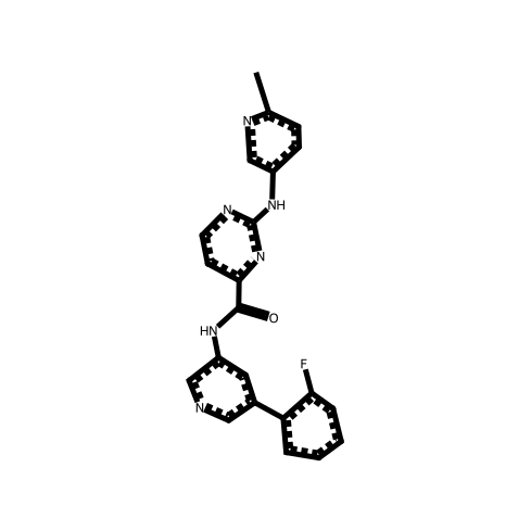 Cc1ccc(Nc2nccc(C(=O)Nc3cncc(-c4ccccc4F)c3)n2)cn1